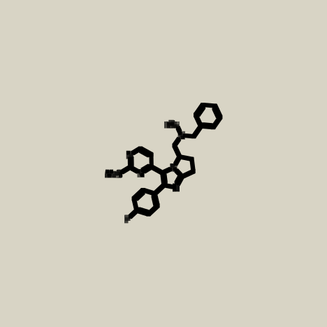 CCCCN(Cc1ccccc1)CC1CCc2nc(-c3ccc(F)cc3)c(-c3ccnc(SC)n3)n21